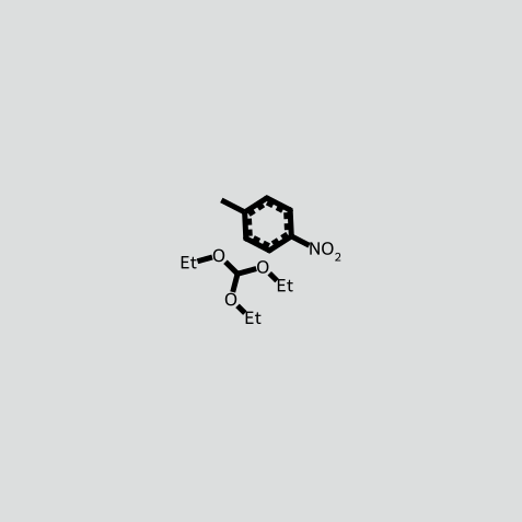 CCOC(OCC)OCC.Cc1ccc([N+](=O)[O-])cc1